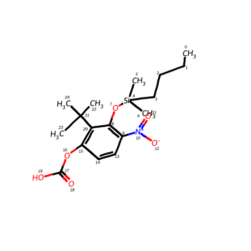 CCCC[Si](C)(C)Oc1c([N+](=O)[O-])ccc(OC(=O)O)c1C(C)(C)C